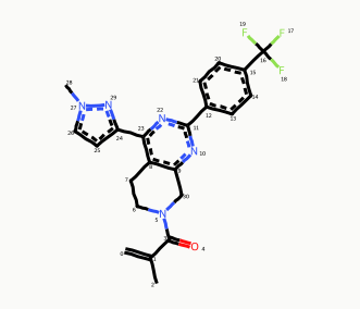 C=C(C)C(=O)N1CCc2c(nc(-c3ccc(C(F)(F)F)cc3)nc2-c2ccn(C)n2)C1